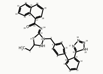 CCC1NN(Cc2ccc(-c3ccccc3-c3nnn[nH]3)cc2)C(=NC(=O)c2cccc3ccccc23)S1